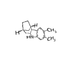 Cc1cc2c(cc1C)C1C(C[C@@H]3CC[C@H]1C3)N2